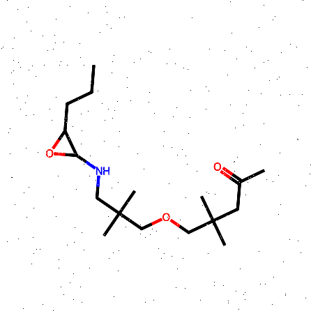 CCCC1OC1NCC(C)(C)COCC(C)(C)CC(C)=O